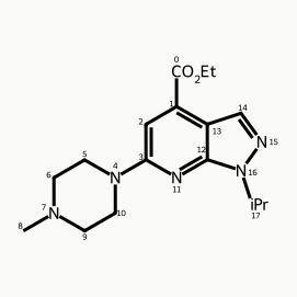 CCOC(=O)c1cc(N2CCN(C)CC2)nc2c1cnn2C(C)C